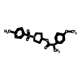 Cc1ccc(S(=O)(=O)N2CCC(OC(=O)N(C)c3ccc(OC(F)(F)F)cc3)CC2)cc1